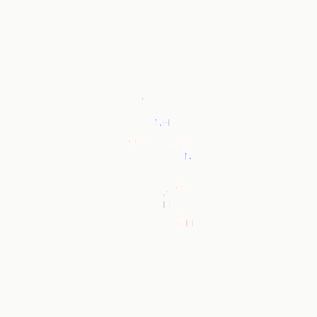 CC(C)Sc1c(OCC2(CO)CCC2)noc1C(=O)NC1C2CC3CC(C2)CC1C3